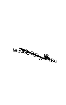 C=CCCCC(COC)CC(=O)COCC(=O)CCCCOCCOCCOCCCCC(=O)CCCCC1CCC2C(C(=O)c3ccc(C(C)(C)C)cc3)C(=O)CC12